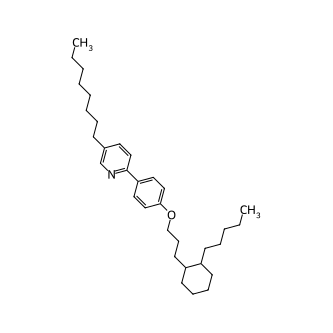 CCCCCCCCc1ccc(-c2ccc(OCCCC3CCCCC3CCCCC)cc2)nc1